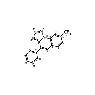 FC(F)(F)c1ccc2cc(-c3cccnc3)c3nnnn3c2c1